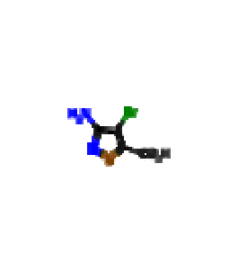 Nc1nsc(C(=O)O)c1Br